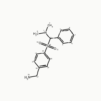 CN(C)C(c1ccccc1)S(=O)(=O)c1ccc(CN)cc1